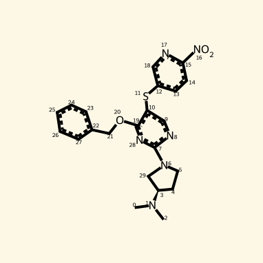 CN(C)[C@@H]1CCN(c2ncc(Sc3ccc([N+](=O)[O-])nc3)c(OCc3ccccc3)n2)C1